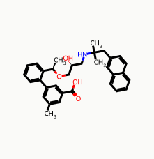 Cc1cc(C(=O)O)cc(-c2ccccc2[C@@H](C)OC[C@H](O)CNC(C)(C)Cc2ccc3ccccc3c2)c1